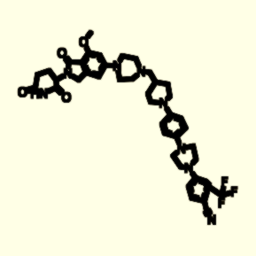 COc1cc(N2CCN(CC3CCN(c4ccc(N5CCN(c6ccc(C#N)c(C(F)(F)F)c6)CC5)cc4)CC3)CC2)cc2c1C(=O)N(C1CCC(=O)NC1=O)C2